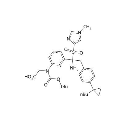 CCCCC1(c2ccc(CC(N)(c3cccc(N(CC(=O)O)C(=O)OC(C)(C)C)n3)S(=O)(=O)c3cn(C)cn3)cc2)CC1